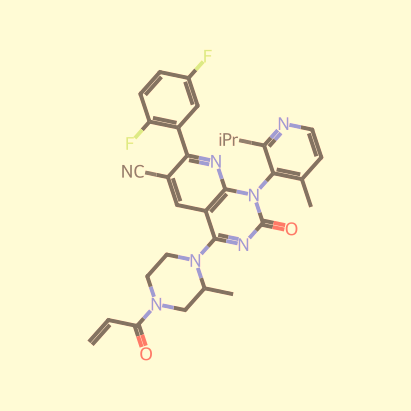 C=CC(=O)N1CCN(c2nc(=O)n(-c3c(C)ccnc3C(C)C)c3nc(-c4cc(F)ccc4F)c(C#N)cc23)C(C)C1